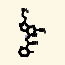 Cc1cccnc1C(=N)/N=c1\[nH]c(N)nc2c1cnn2CCN